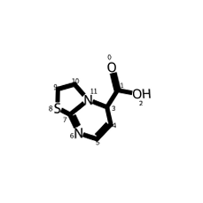 O=C(O)C1C=CN=C2SCCN21